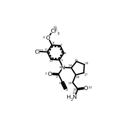 C#CC(=O)N(c1ccc(OC(F)(F)F)c(Cl)c1)C1CCCC1CC(N)=O